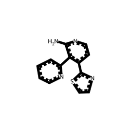 Nc1nccc(-c2nccs2)c1-c1ccccn1